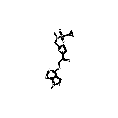 CN(Cc1ccc(C(=O)CSc2ncnc3c2cnn3C)s1)S(=O)(=O)C1CC1